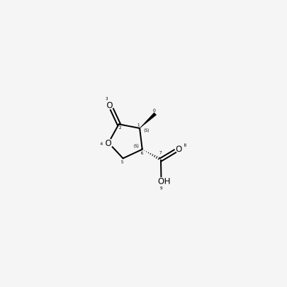 C[C@@H]1C(=O)OC[C@H]1C(=O)O